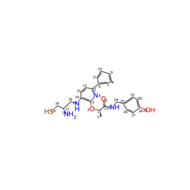 C[C@@H](Oc1nc(-c2ccccc2)ccc1NCC(N)CS)C(=O)NCc1ccc(O)cc1